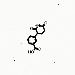 O=C1CCC(c2cccc(C(=O)O)c2)C(=O)N1